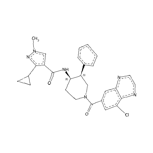 Cn1cc(C(=O)N[C@@H]2CCN(C(=O)c3cc(Cl)c4nccnc4c3)C[C@@H]2c2ccccc2)c(C2CC2)n1